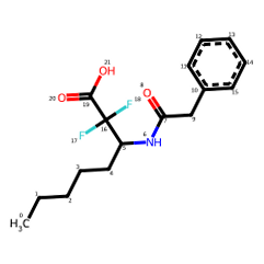 CCCCCC(NC(=O)Cc1ccccc1)C(F)(F)C(=O)O